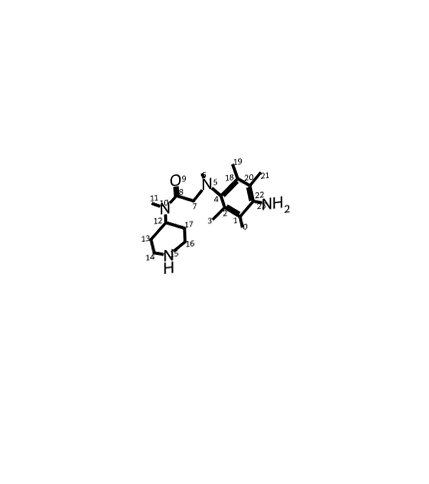 Cc1c(C)c(N(C)CC(=O)N(C)C2CCNCC2)c(C)c(C)c1N